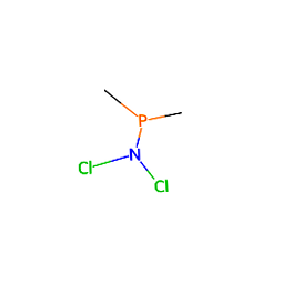 CP(C)N(Cl)Cl